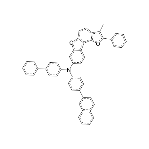 Cc1c(-c2ccccc2)oc2c1ccc1oc3cc(N(c4ccc(-c5ccccc5)cc4)c4ccc(-c5ccc6ccccc6c5)cc4)ccc3c12